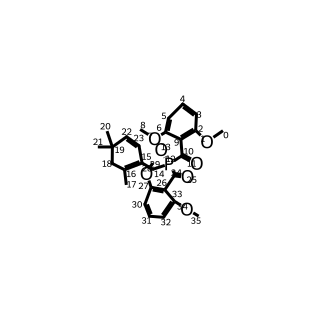 COc1cccc(OC)c1C(=O)P(=O)(CC1=C(C)CC(C)(C)C=C1)C(=O)c1c(OC)cccc1OC